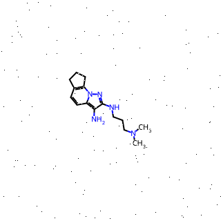 CN(C)CCCNc1nn2c3c(ccc2c1N)CCC3